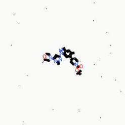 Cc1nc(N2CCO[C@@H](C)C2)cc(-n2ncc3cc(C)c(C4CCN(C(=O)OC(C)(C)C)CC4)cc32)n1